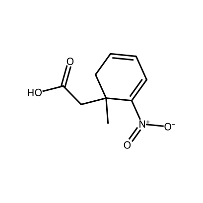 CC1(CC(=O)O)CC=CC=C1[N+](=O)[O-]